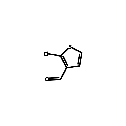 O=Cc1ccsc1Cl